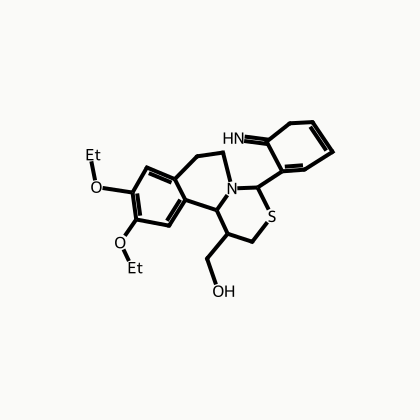 CCOc1cc2c(cc1OCC)C1C(CO)CSC(C3=CC=CCC3=N)N1CC2